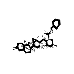 C[C@H]1C[C@@H](O)[C@H]([C@@H](C)[C@@H]2CC[C@H]3[C@@H]4CCC5=CC(=O)CC[C@]5(C)[C@H]4C[C@@]34C[C@@]24C)N(C(=O)OCc2ccccc2)C1